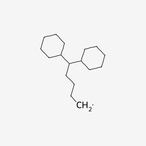 [CH2]CCCC(C1CCCCC1)C1CCCCC1